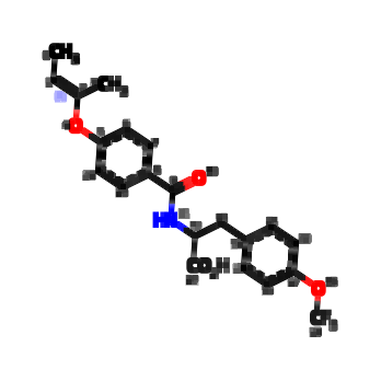 C/C=C(\C)Oc1ccc(C(=O)NC(Cc2ccc(OC(F)(F)F)cc2)C(=O)O)cc1